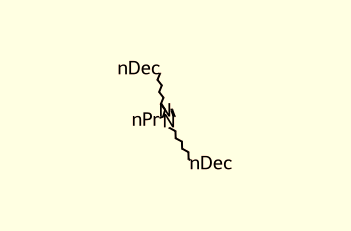 CCCCCCCCCCCCCCCCCN1C=CN(CCCCCCCCCCCCCCCC)C1CCC